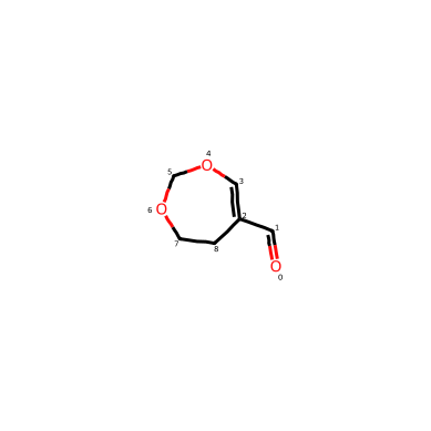 O=CC1=COCOCC1